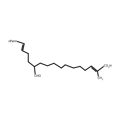 CCCCCC=CCCC(C=O)CCCCCCCCC=C(C)C(=O)O